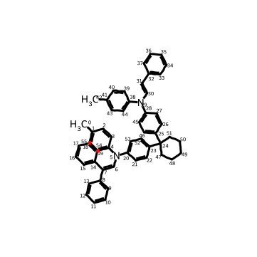 Cc1ccc(N(C=C(c2ccccc2)c2ccccc2)c2ccc(C3(c4ccc(N(/C=C/c5ccccc5)c5ccc(C)cc5)cc4)CCCCC3)cc2)cc1